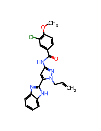 C=CCn1nc(NC(=O)c2ccc(OC)c(Cl)c2)cc1-c1nc2ccccc2[nH]1